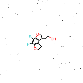 OCCC1COc2c(F)c(F)c3c(c21)CCO3